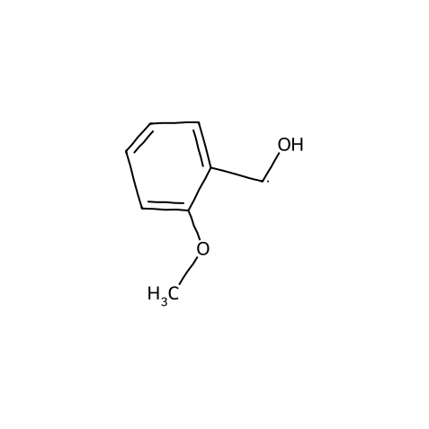 COc1ccccc1[CH]O